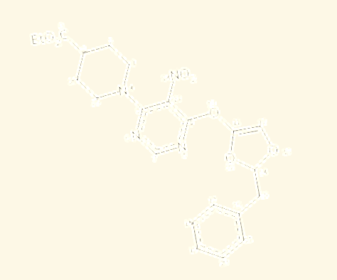 CCOC(=O)C1CCN(c2ncnc(OC3=COC(Cc4ccccc4)O3)c2[N+](=O)[O-])CC1